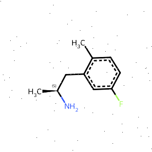 Cc1ccc(F)cc1C[C@H](C)N